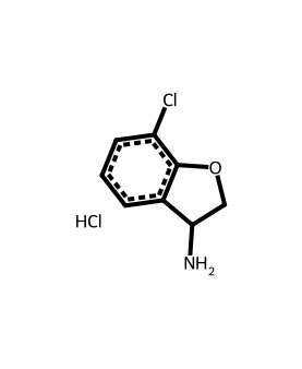 Cl.NC1COc2c(Cl)cccc21